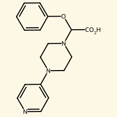 O=C(O)C(Oc1ccccc1)N1CCN(c2ccncc2)CC1